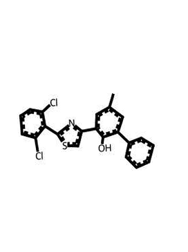 Cc1cc(-c2ccccc2)c(O)c(-c2csc(-c3c(Cl)cccc3Cl)n2)c1